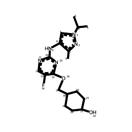 Cc1nn(C(C)C)cc1Nc1ncc(F)c(OCC2CCC(O)CC2)n1